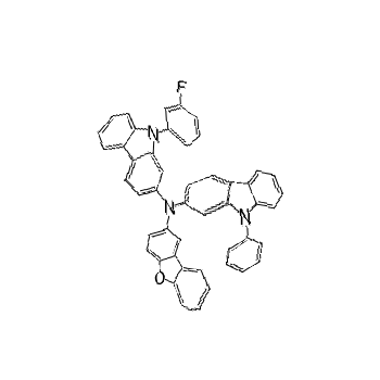 Fc1cccc(-n2c3ccccc3c3ccc(N(c4ccc5oc6ccccc6c5c4)c4ccc5c6ccccc6n(-c6ccccc6)c5c4)cc32)c1